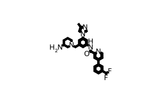 Cc1cn(-c2cc(CN3CCCC(N)C3)cc(NC(=O)c3cc(-c4cccc(C(F)F)c4)ccn3)c2)cn1